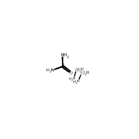 CCOC(N)=O.CCOC(N)=O.NC(N)=O